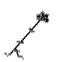 C[C@@H](OC(=O)C(F)(F)F)[C@@H](OC(=O)C(F)(F)F)[C@H](OC(=O)C(F)(F)F)[C@@H](OC(=O)C(F)(F)F)C(=O)NCCCCCCCCCCCC(=O)NCCCCCCCCCCCC(=O)NCCCCCCC(CNCCCCN)CNCCCCN